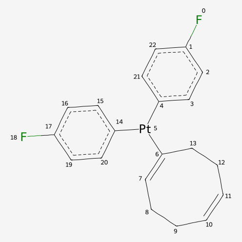 Fc1cc[c]([Pt]([C]2=CCCC=CCC2)[c]2ccc(F)cc2)cc1